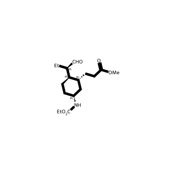 CCOC(=O)N[C@@H]1CC[C@@H]([C@H](C=O)CC)[C@H](CCC(=O)OC)C1